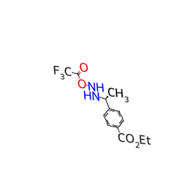 CCOC(=O)c1ccc([C@H](C)NNOC(=O)C(F)(F)F)cc1